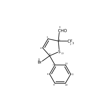 O=CC1(C(F)(F)F)C=CC(Br)(c2ccccc2)S1